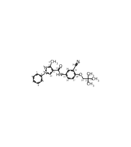 Cc1nn(-c2ccccc2)cc1C(=O)Nc1ccc(OCC(C)(C)C)c(C#N)c1